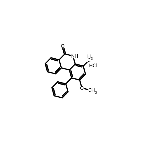 COc1cc(C)c2[nH]c(=O)c3ccccc3c2c1-c1ccccc1.Cl